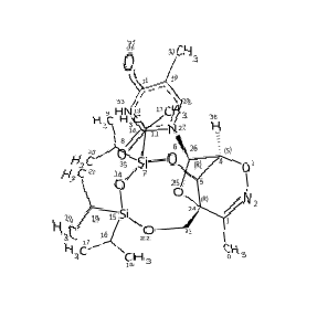 CC1=NO[C@H]2C3O[Si](C(C)C)(C(C)C)O[Si](C(C)C)(C(C)C)OC[C@]13O[C@H]2n1cc(C)c(=O)[nH]c1=O